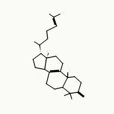 C/C(C=O)=C/CCC(C)[C@@H]1CC[C@]2(C)C3=C(CC[C@@]12C)C1(C)CCC(=O)C(C)(C)C1CC3